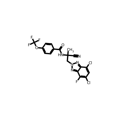 CC(C#N)(Cn1nc2c(Cl)cc(Cl)c(F)c2n1)NC(=O)c1ccc(OC(F)(F)F)cc1